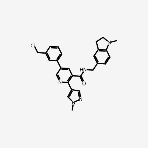 CN1CCc2cc(CNC(=O)c3cc(-c4cccc(CCl)c4)cnc3-c3cnn(C)c3)ccc21